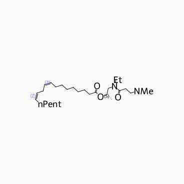 CCCCC/C=C\C/C=C\CCCCCCCC(=O)O[C@@H](C)CN(CC)C(=O)CCNC